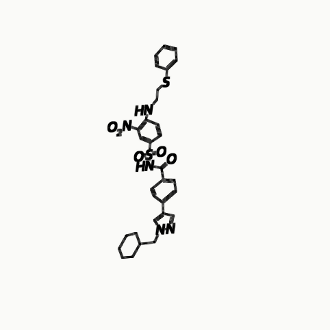 O=C(NS(=O)(=O)c1ccc(NCCSc2ccccc2)c([N+](=O)[O-])c1)c1ccc(-c2cnn(CC3CCCCC3)c2)cc1